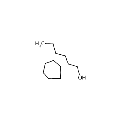 C1CCCCC1.CCCCCCO